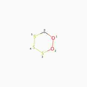 [CH]1OOSSS1